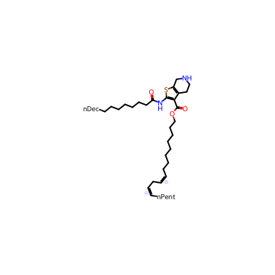 CCCCC/C=C\C/C=C\CCCCCCCCOC(=O)c1c(NC(=O)CCCCCCCCCCCCCCCCC)sc2c1CCNC2